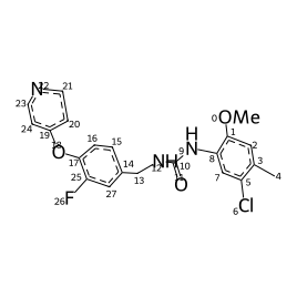 COc1cc(C)c(Cl)cc1NC(=O)NCc1ccc(Oc2ccncc2)c(F)c1